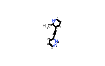 Cc1ncccc1C#Cc1cccnn1